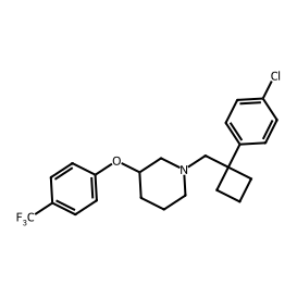 FC(F)(F)c1ccc(OC2CCCN(CC3(c4ccc(Cl)cc4)CCC3)C2)cc1